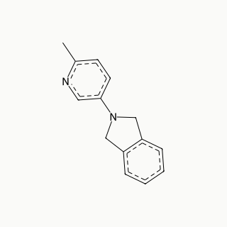 Cc1ccc(N2Cc3ccccc3C2)cn1